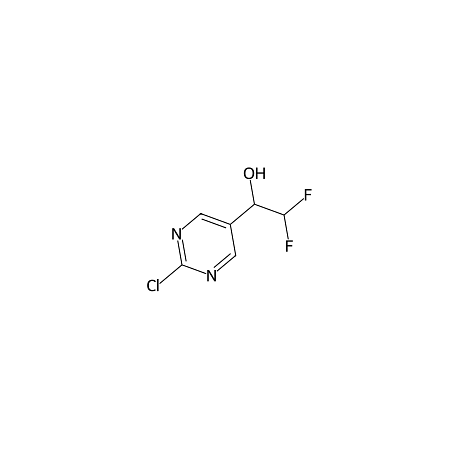 OC(c1cnc(Cl)nc1)C(F)F